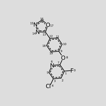 Fc1cc(Cl)cnc1Oc1ccc(-c2nn[c]o2)cc1